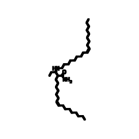 CCCCCCCC/C=C\CCCCCCCCNC(CC)C(CCCCCC/C=C\CCCCCCCC)C(N)=O